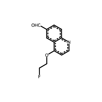 O=Cc1ccc2nccc(OCCF)c2c1